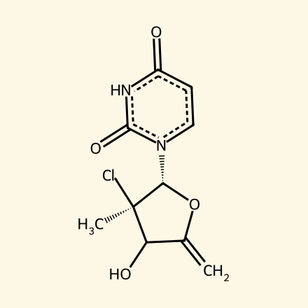 C=C1O[C@@H](n2ccc(=O)[nH]c2=O)[C@](C)(Cl)C1O